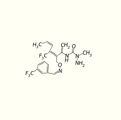 C=C(NC(=O)N(C)N)/C(CO/N=C\c1cccc(C(F)(F)F)c1)=C(\C=C/C)C(F)(F)F